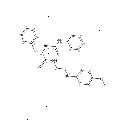 COc1ccc(NCCNC(=O)[C@H](Cc2ccccc2)NC(=O)Nc2ccccc2)cc1